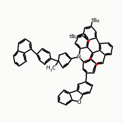 CC(C)(C)c1cc(-c2cccc3cccc(-c4ccccc4N(C4=CCC(C)(c5ccc(-c6cccc7ccccc67)cc5)C=C4)c4cccc(-c5ccc6oc7ccccc7c6c5)c4)c23)cc(C(C)(C)C)c1